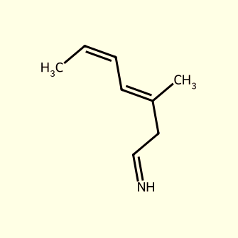 C/C=C\C=C(/C)CC=N